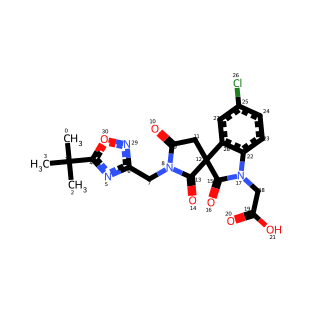 CC(C)(C)c1nc(CN2C(=O)CC3(C2=O)C(=O)N(CC(=O)O)c2ccc(Cl)cc23)no1